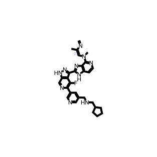 C=N/C(C)=C\N(C)c1nccc2[nH]c(-c3n[nH]c4cnc(-c5cncc(CNCC6CCCC6)c5)c(F)c34)nc12